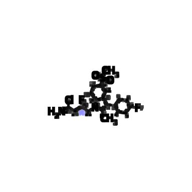 Cc1c(-c2ccc(F)cc2)c2cc(S(C)(=O)=O)ccc2n1C/C(F)=C/C(N)Cl